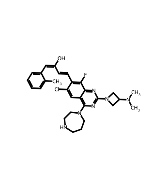 Cc1ccccc1/C=C(O)\C=C\c1c(Cl)cc2c(N3CCCNCC3)nc(N3CC(N(C)C)C3)nc2c1F